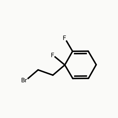 FC1=CCC=CC1(F)CCBr